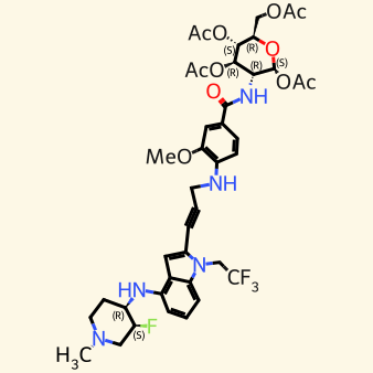 COc1cc(C(=O)N[C@H]2[C@H](OC(C)=O)O[C@H](COC(C)=O)[C@@H](OC(C)=O)[C@@H]2OC(C)=O)ccc1NCC#Cc1cc2c(N[C@@H]3CCN(C)C[C@@H]3F)cccc2n1CC(F)(F)F